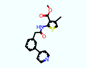 COC(=O)c1c(C)csc1NC(=O)Cc1cccc(-c2ccncc2)c1